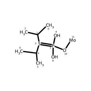 CC(C)S(C(C)C)=P(O)(O)[O][Mo]